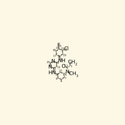 C=CC(=O)N(C)c1cccc(Nc2cc(Nc3ccc(F)c(Cl)c3)ncn2)c1